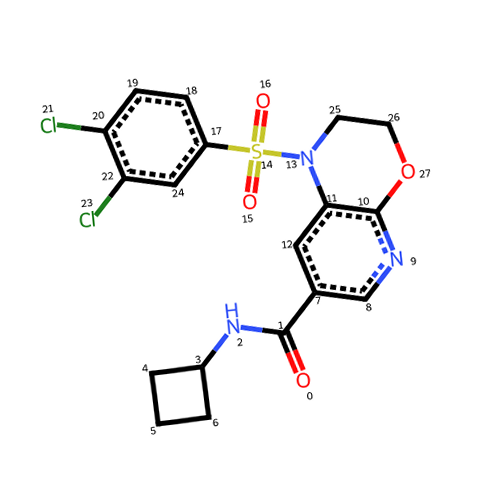 O=C(NC1CCC1)c1cnc2c(c1)N(S(=O)(=O)c1ccc(Cl)c(Cl)c1)CCO2